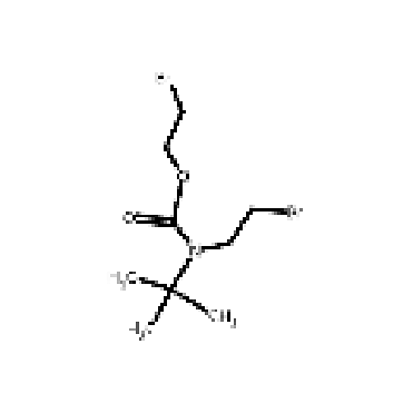 CC(C)(C)N(CCBr)C(=O)OCCBr